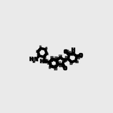 N[C@H]1CCCC[C@H]1Nc1ccc2c(c1)CN(C1CCC(=O)NC1=O)C2=O